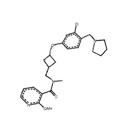 COc1ncccc1C(=O)N(C)CC1CC(Oc2ccc(CN3CCCC3)c(Cl)c2)C1